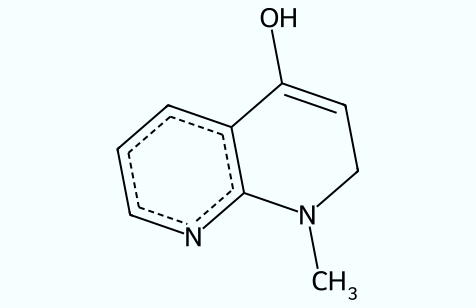 CN1CC=C(O)c2cccnc21